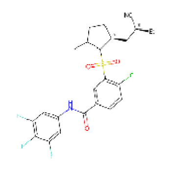 CC[C@H](C#N)C[C@@H]1CCC(C)C1S(=O)(=O)c1cc(C(=O)Nc2cc(F)c(F)c(F)c2)ccc1Cl